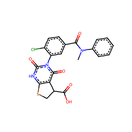 CN(C(=O)c1ccc(Cl)c(-n2c(=O)[nH]c3c(c2=O)C(C(=O)O)CS3)c1)c1ccccc1